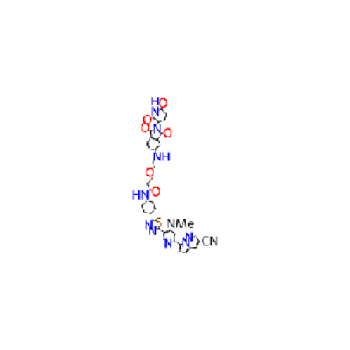 CNc1cc(-c2ccc3cc(C#N)cnn23)ncc1-c1nnc([C@H]2CC[C@@H](NC(=O)CCOCCNc3ccc4c(c3)C(=O)N(C3CCC(=O)NC3=O)C4=O)CC2)s1